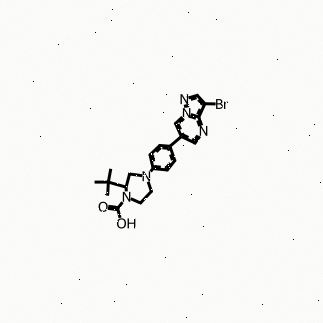 CC(C)(C)C1CN(c2ccc(-c3cnc4c(Br)cnn4c3)cc2)CCN1C(=O)O